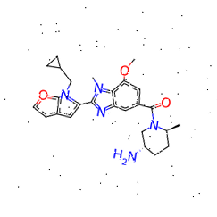 COc1cc(C(=O)N2C[C@@H](N)CC[C@@H]2C)cc2nc(-c3cc4ccoc4n3CC3CC3)n(C)c12